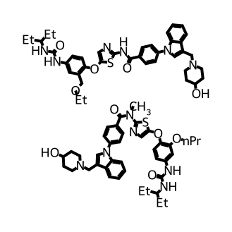 CCCOc1cc(NC(=O)NC(CC)CC)ccc1Oc1cnc(N(C)C(=O)c2ccc(-n3cc(CN4CCC(O)CC4)c4ccccc43)cc2)s1.CCOCc1cc(NC(=O)NC(CC)CC)ccc1Oc1cnc(NC(=O)c2ccc(-n3cc(CN4CCC(O)CC4)c4ccccc43)cc2)s1